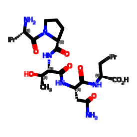 CC(C)C[C@H](NC(=O)[C@H](CC(N)=O)NC(=O)[C@@H](NC(=O)[C@@H]1CCCN1C(=O)[C@@H](N)C(C)C)[C@@H](C)O)C(=O)O